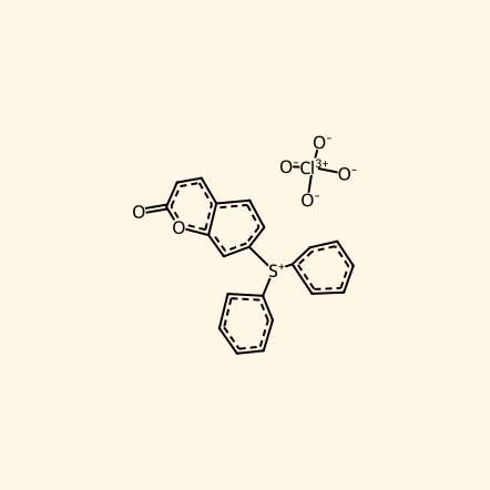 O=c1ccc2ccc([S+](c3ccccc3)c3ccccc3)cc2o1.[O-][Cl+3]([O-])([O-])[O-]